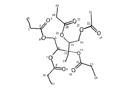 CCC(=O)OCC(OC(=O)CC)C(C)(OC(=O)CC)C(COC(C)=O)OC(=O)CC